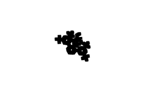 CCC1=C(CC)N(c2c(-c3cc(C(C)(C)C)cc(C(C)(C)C)c3)cccc2-c2cc(C(C)(C)C)cc(C(C)(C)C)c2)CS1